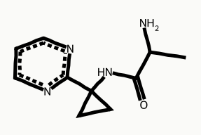 CC(N)C(=O)NC1(c2ncccn2)CC1